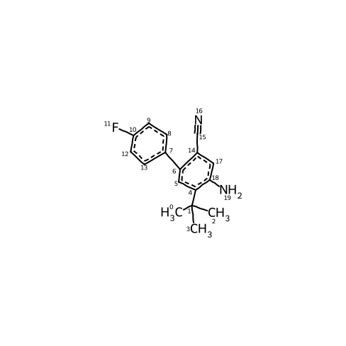 CC(C)(C)c1cc(-c2ccc(F)cc2)c(C#N)cc1N